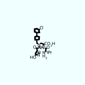 CC(C)[C@H](N)C(=O)O[C@H](CN(Cc1ccc(-c2cccc(Cl)c2)cc1)NC(=O)c1cc(O)no1)C(=O)O